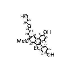 CCC(=C(c1ccc(O)cc1)c1ccc(O)cc1)c1ccc(CCCOCCO)c(OC)c1